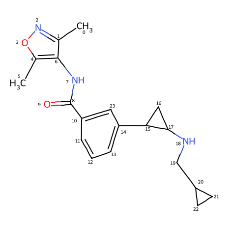 Cc1noc(C)c1NC(=O)c1cccc(C2CC2NCC2CC2)c1